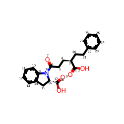 O=C(O)[C@@H](CCC(=O)N1c2ccccc2C[C@H]1C(=O)O)CCc1ccccc1